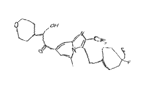 Cc1cc(C(=O)C(O)C2CCOCC2)cc2nc(C(F)(F)F)c(CC3CCC(F)(F)CC3)n12